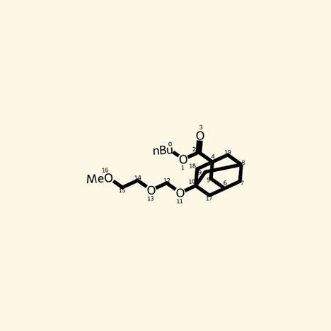 CCCCOC(=O)C12CC3CC(CC(OCOCCOC)(C3)C1)C2